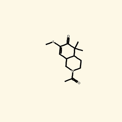 CSC1=CC2CN(C(C)=O)CCC2C(C)(C)C1=O